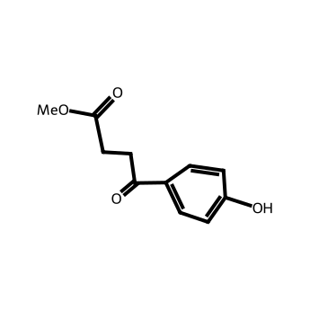 COC(=O)CCC(=O)c1ccc(O)cc1